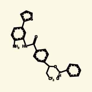 Nc1ccc(-c2cccs2)cc1NC(=O)c1ccc(C(CC(F)(F)F)O[PH](=O)c2ccccc2)cc1